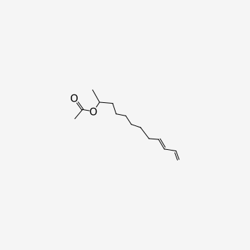 C=C/C=C/CCCCCCC(C)OC(C)=O